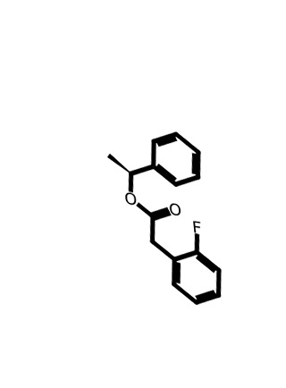 C[C@H](OC(=O)Cc1ccccc1F)c1ccccc1